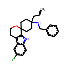 C=CCC1(NCc2ccccc2)CCC2(CC1)OCCc1c2[nH]c2ccc(F)cc12